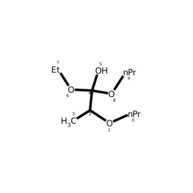 CCCOC(C)C(O)(OCC)OCCC